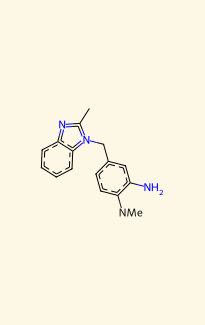 CNc1ccc(Cn2c(C)nc3ccccc32)cc1N